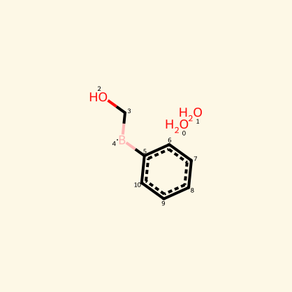 O.O.OC[B]c1ccccc1